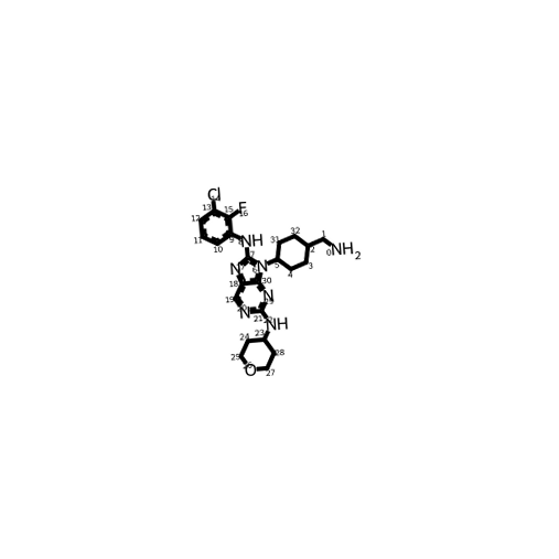 NCC1CCC(n2c(Nc3cccc(Cl)c3F)nc3cnc(NC4CCOCC4)nc32)CC1